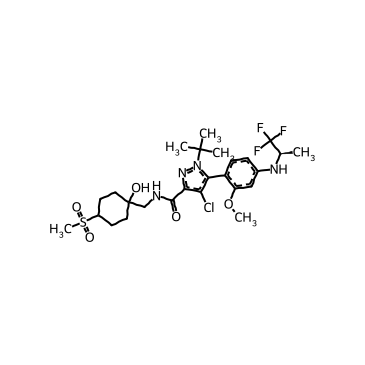 COc1cc(N[C@H](C)C(F)(F)F)ccc1-c1c(Cl)c(C(=O)NCC2(O)CCC(S(C)(=O)=O)CC2)nn1C(C)(C)C